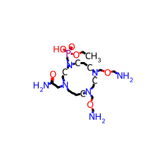 CCOP(=O)(O)CN1CCCN(COCN)CCN(COCN)CCCN(CC(N)=O)CC1